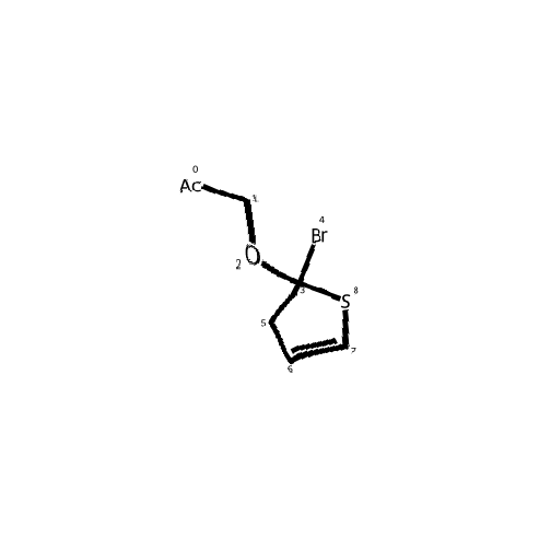 CC(=O)COC1(Br)CC=CS1